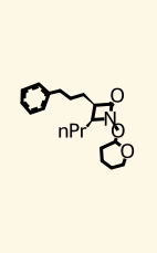 CCC[C@H]1[C@@H](CCCc2ccccc2)C(=O)N1OC1CCCCO1